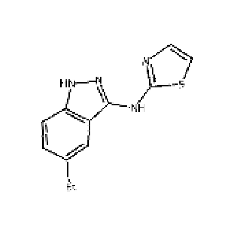 CCc1ccc2[nH]nc(Nc3nccs3)c2c1